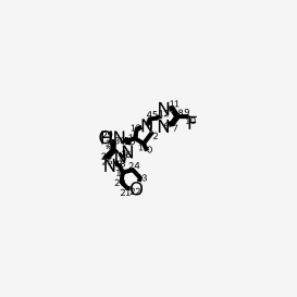 CC1CN(Cc2ncc(CF)cn2)CC1c1nn2c(C3CCOCC3)ncc2c(=O)[nH]1